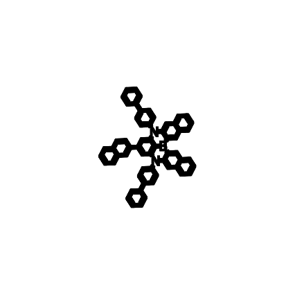 c1ccc(-c2ccc(N3c4cc5ccccc5cc4B4c5cc6ccccc6cc5N(c5ccc(-c6ccccc6)cc5)c5cc(-c6ccc7ccccc7c6)cc3c54)cc2)cc1